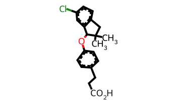 CC1(C)Cc2ccc(Cl)cc2C1Oc1ccc(CCC(=O)O)cc1